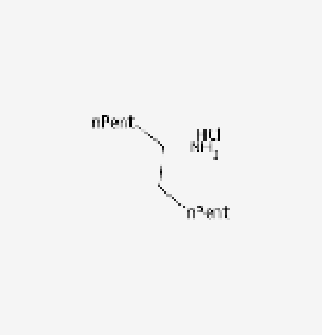 Cl.N.[CH2]CCCCCCCCCCC